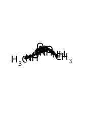 CCNCCCOc1ccc2c(=O)c3ccc(OCCCNCC)cc3[nH]c2c1